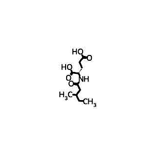 CCC(C)CC(=O)N[C@@H](CCC(=O)O)C(=O)O